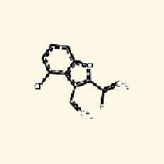 C=Cc1c(C(=C)F)oc2cccc(Cl)c12